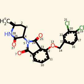 C=C1CCC(N2C(=O)c3cccc(OCc4ccc(Cl)c(Cl)c4)c3C2=O)C(=O)N1